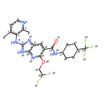 Cc1ccnc(C)c1Nc1nc2cc(C(=O)NC3CCC(C(F)(F)F)CC3)c(OCC(F)F)nc2[nH]1